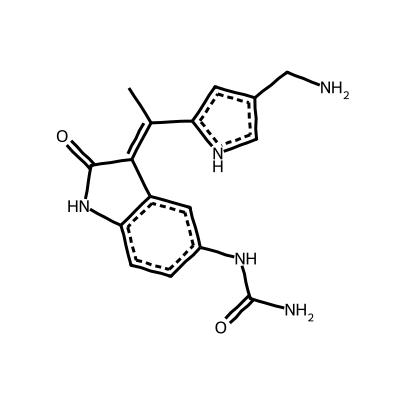 C/C(=C1\C(=O)Nc2ccc(NC(N)=O)cc21)c1cc(CN)c[nH]1